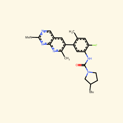 CNc1ncc2cc(-c3cc(NC(=O)N4CCC(C(C)(C)C)C4)c(F)cc3C)c(C)nc2n1